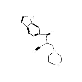 N#CC(CN1CCNCC1)C(=O)c1ccc2cc[nH]c2c1